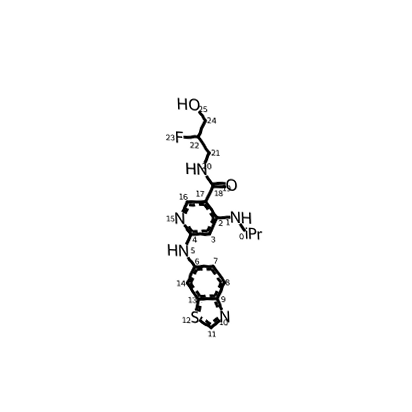 CC(C)Nc1cc(Nc2ccc3ncsc3c2)ncc1C(=O)NCC(F)CO